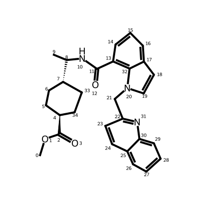 COC(=O)[C@H]1CC[C@H](C(C)NC(=O)c2cccc3ccn(Cc4ccc5ccccc5n4)c23)CC1